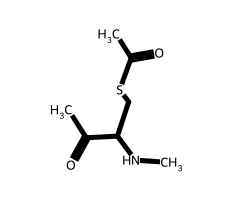 CNC(CSC(C)=O)C(C)=O